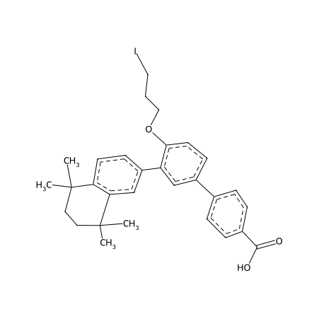 CC1(C)CCC(C)(C)c2cc(-c3cc(-c4ccc(C(=O)O)cc4)ccc3OCCCI)ccc21